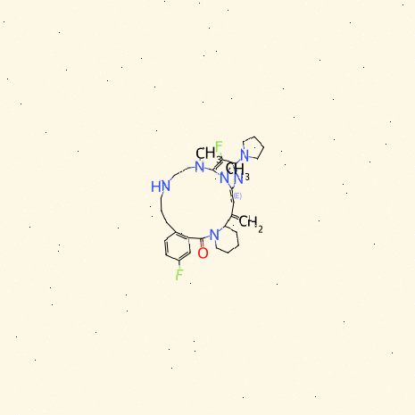 C=C1/C=C2/N=C(N3CCCC3)C(F)=C(N(C)CCNCCCc3ccc(F)cc3C(=O)N3CCCCC13)N2C